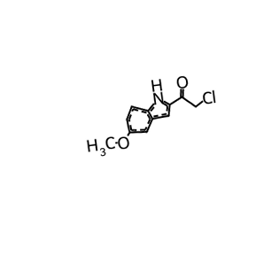 COc1ccc2[nH]c(C(=O)CCl)cc2c1